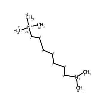 CN(C)CCCCCCC[N+](C)(C)C